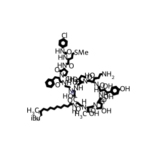 CC[C@H](C)C[C@H](C)CCCCCCCCC(=O)NC1C[C@@H](O)/C(=N/CCNC(=O)C(Cc2ccccc2)N2C(=O)C(NC(=O)C(CCSC)NC(=O)Nc3ccc(Cl)cc3)CC2C)NC(=O)[C@@H]2[C@@H](O)CCN2C(=O)[C@H]([C@H](O)CCN)NC(=O)[C@H]([C@H](O)[C@@H](O)c2ccc(O)cc2)NC(=O)[C@@H]2C[C@@H](O)CN2C(=O)[C@H]([C@@H](C)O)NC1=O